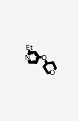 CCc1cc(OC2CCOCC2)ccn1